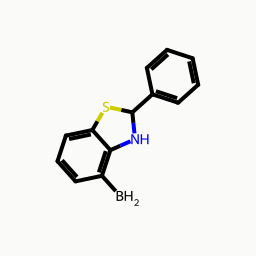 Bc1cccc2c1NC(c1ccccc1)S2